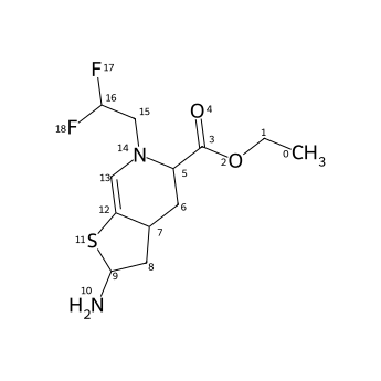 CCOC(=O)C1CC2CC(N)SC2=CN1CC(F)F